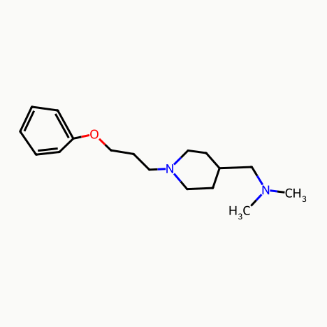 CN(C)CC1CCN(CCCOc2ccccc2)CC1